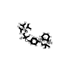 CC(C)[Si](OCC(F)(F)Oc1ccc(N2CC(C)(C)N[C@H]3CCCC[C@@H]32)cc1)(C(C)C)C(C)C